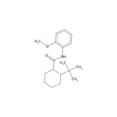 COc1ccccc1NC(=O)C1CCCCC1C(C)(C)C